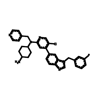 NC1CCC(N(Cc2ccncc2)c2cc(-c3ccc4ncn(Cc5cccc(F)c5)c4c3)c(Cl)cn2)CC1